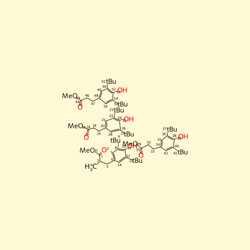 COC(=O)C(C)Cc1cc(C(C)(C)C)c(O)c(C(C)(C)C)c1.COC(=O)CCc1cc(C(C)(C)C)c(O)c(C(C)(C)C)c1.COC(=O)CCc1cc(C(C)(C)C)c(O)c(C(C)(C)C)c1.COC(=O)CCc1cc(C(C)(C)C)c(O)c(C(C)(C)C)c1